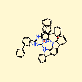 c1ccc(-c2cccc(C3=NC(c4ccccc4)NC(n4c5ccccc5c5ccc6c7ccccc7n(-c7cccc(-c8ccccc8)c7-c7ccccc7)c6c54)N3)c2)cc1